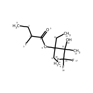 CCC(I)C(=O)OC(CC)(CC)C(C)(O)C(F)(F)F